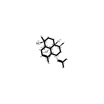 CC(C)=C[C@H]1C[C@H](C)[C@H]2CC[C@](C)(C#N)[C@H]3CC=C(C)[C@@H]1[C@H]23